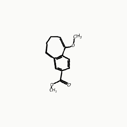 COC(=O)c1ccc2c(c1)CCCC=C2OC